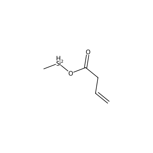 C=CCC(=O)O[SiH2]C